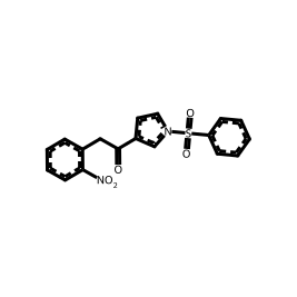 O=C(Cc1ccccc1[N+](=O)[O-])c1ccn(S(=O)(=O)c2ccccc2)c1